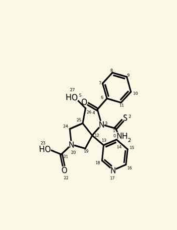 NC(=S)N(C(=O)c1ccccc1)C1(c2cccnc2)CN(C(=O)O)CC1CO